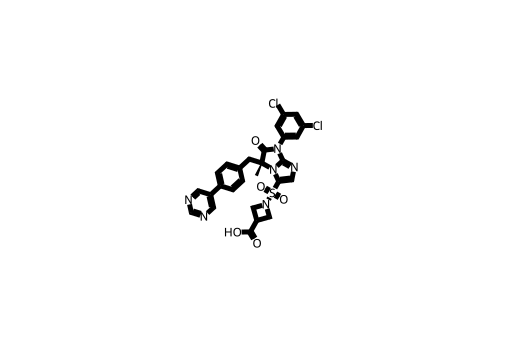 C[C@@]1(Cc2ccc(-c3cncnc3)cc2)C(=O)N(c2cc(Cl)cc(Cl)c2)c2ncc(S(=O)(=O)N3CC(C(=O)O)C3)n21